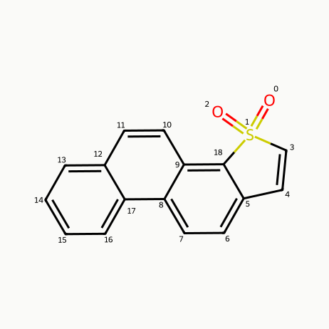 O=S1(=O)C=Cc2ccc3c(ccc4ccccc43)c21